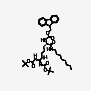 CCCCCCCCNC(=O)[C@H](CCCN/C(=N\C(=O)OC(C)(C)C)NC(=O)OC(C)(C)C)NC(=O)OCC1c2ccccc2-c2ccccc21